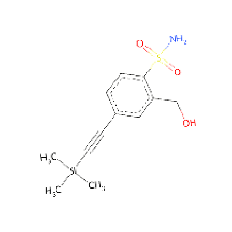 C[Si](C)(C)C#Cc1ccc(S(N)(=O)=O)c(CO)c1